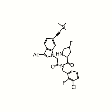 CC(=O)c1cn(CC(=O)N(Cc2cccc(Cl)c2F)C(=O)C2CC(F)CN2)c2cc(C#C[Si](C)(C)C)ccc12